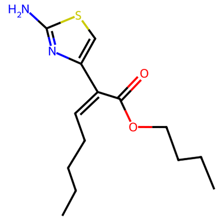 CCCCC=C(C(=O)OCCCC)c1csc(N)n1